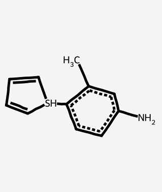 Cc1cc(N)ccc1[SH]1C=CC=C1